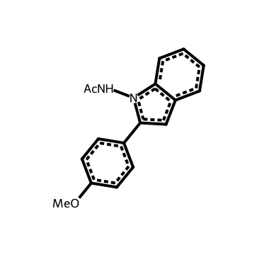 COc1ccc(-c2cc3ccccc3n2NC(C)=O)cc1